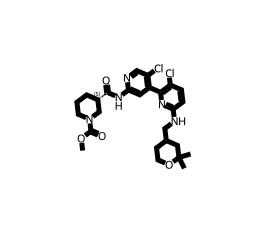 COC(=O)N1CCC[C@H](C(=O)Nc2cc(-c3nc(NCC4CCOC(C)(C)C4)ccc3Cl)c(Cl)cn2)C1